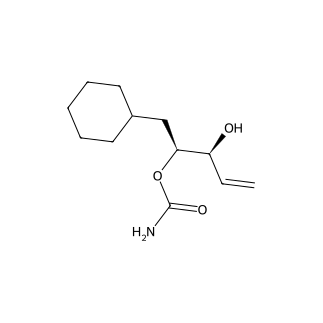 C=C[C@H](O)[C@H](CC1CCCCC1)OC(N)=O